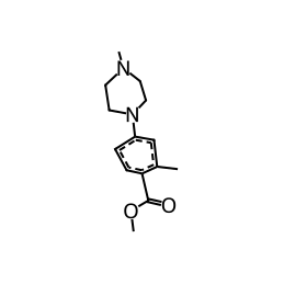 COC(=O)c1ccc(N2CCN(C)CC2)cc1C